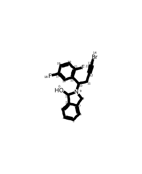 OC1c2ccccc2CN1C(CC#CBr)c1cc(F)ccc1F